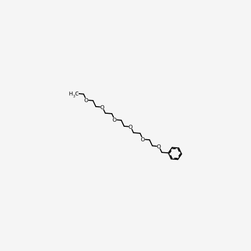 CCOCCOCCOCCOCCOCCOCc1ccccc1